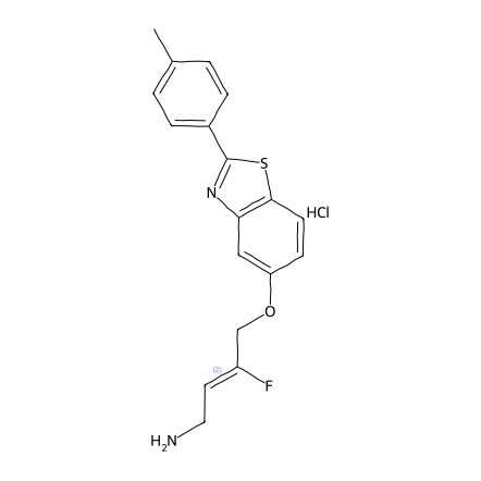 Cc1ccc(-c2nc3cc(OC/C(F)=C/CN)ccc3s2)cc1.Cl